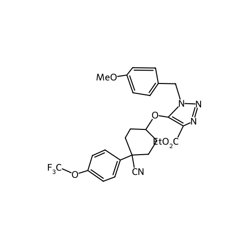 CCOC(=O)c1nnn(Cc2ccc(OC)cc2)c1OC1CCC(C#N)(c2ccc(OC(F)(F)F)cc2)CC1